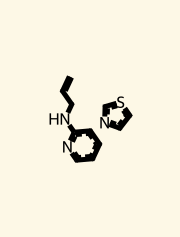 C=CCNc1ccccn1.c1cscn1